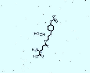 Cl.Cl.N[C@@H](CCC(=O)OCCCN1CCC(O[N+](=O)[O-])CC1)C(=O)O